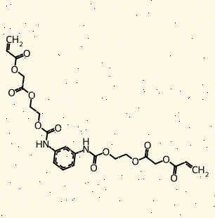 C=CC(=O)OCC(=O)OCCOC(=O)Nc1cccc(NC(=O)OCCOC(=O)COC(=O)C=C)c1